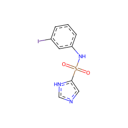 O=S(=O)(Nc1cccc(I)c1)c1cnc[nH]1